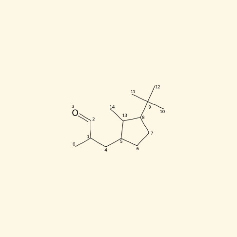 CC(C=O)CC1CCC(C(C)(C)C)C1C